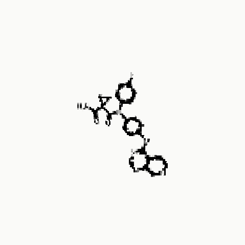 NC(=O)C1(C(=O)N(c2ccc(F)cc2)c2ccc(Oc3ncnc4cnccc34)cc2)CC1